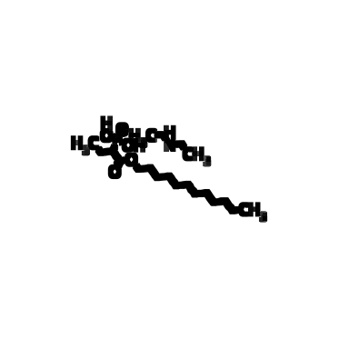 CCCCCCCCCCCCOC(=O)C(CC)P(=O)(O)O.CCNCC